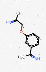 CC(=N)COc1cccc(C(C)=N)c1